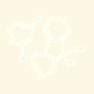 CCCCC1(CCCC)c2ccccc2-c2ccccc21.Fc1cccc(F)c1